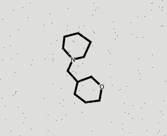 [CH]1OCCCC1CN1CCCCC1